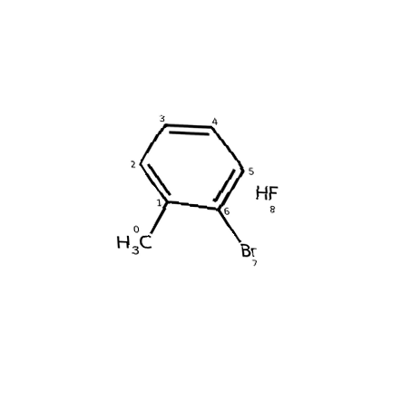 Cc1ccccc1Br.F